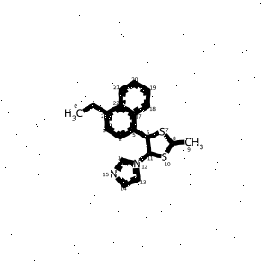 CCc1ccc(C2SC(C)SC2n2ccnc2)c2ccccc12